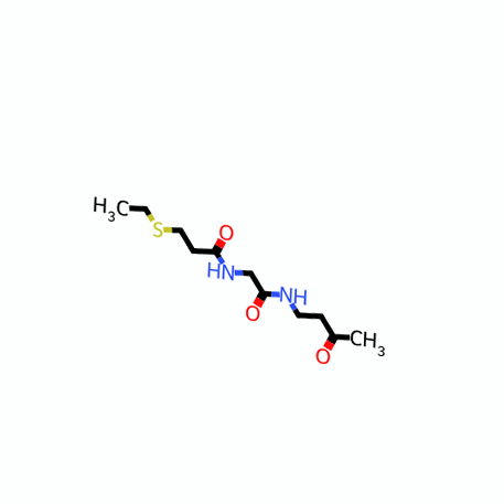 CCSCCC(=O)NCC(=O)NCCC(C)=O